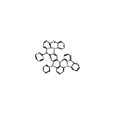 c1ccc(N2c3cc4c(cc3B3c5ccccc5Oc5cccc2c53)B2c3c(cccc3-n3c5ccccc5c5cccc2c53)N4c2ccccc2)cc1